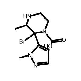 CC1NCCN(C(=O)O)C1(Br)c1ccnn1C